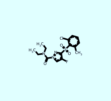 CCN(CC)C(=O)n1cc(F)c(S(=O)(=O)c2c(C)cccc2Cl)n1